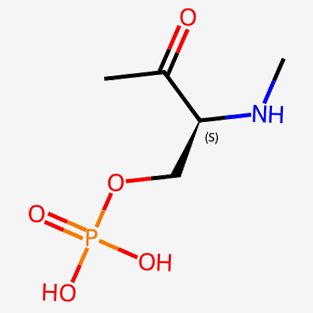 CN[C@@H](COP(=O)(O)O)C(C)=O